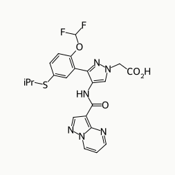 CC(C)Sc1ccc(OC(F)F)c(-c2nn(CC(=O)O)cc2NC(=O)c2cnn3cccnc23)c1